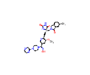 COc1cc(C(=NO)N2CCN(c3cnccn3)CC2)cnc1C#C[C@]1(CN2Cc3ccc(C)cc3C2=O)NC(=O)NC1=O